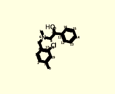 Cc1ccc(CN(C)CC(O)c2ccccc2)c(Cl)c1